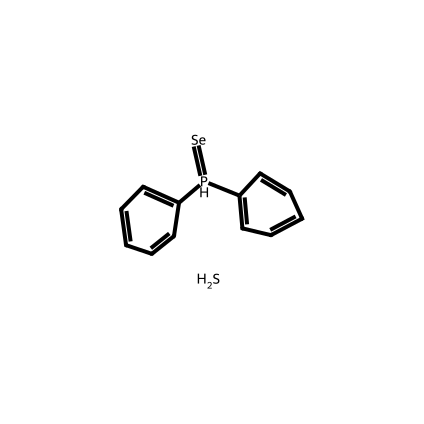 S.[Se]=[PH](c1ccccc1)c1ccccc1